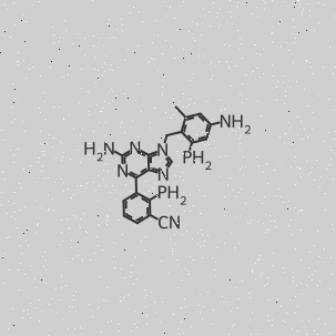 Cc1cc(N)cc(P)c1Cn1cnc2c(-c3cccc(C#N)c3P)nc(N)nc21